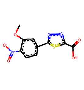 COc1cc(-c2nnc(C(=O)O)s2)ccc1[N+](=O)[O-]